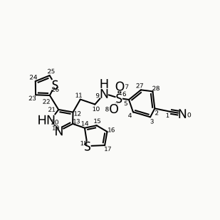 N#Cc1ccc(S(=O)(=O)NCCc2c(-c3cccs3)n[nH]c2-c2cccs2)cc1